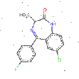 O=C(O)C1N=C(c2ccc(F)cc2)c2cc(Cl)ccc2NC1=O